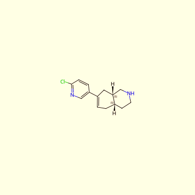 Clc1ccc(C2=CC[C@H]3CCNC[C@H]3C2)cn1